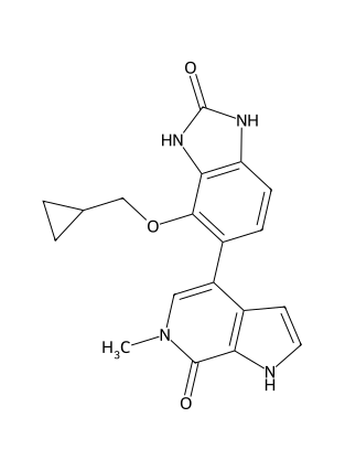 Cn1cc(-c2ccc3[nH]c(=O)[nH]c3c2OCC2CC2)c2cc[nH]c2c1=O